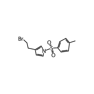 Cc1ccc(S(=O)(=O)n2ccc(CCBr)c2)cc1